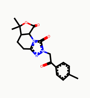 Cc1ccc(C(=O)Cn2nc3n(c2=O)C2C(=O)OC(C)(C)C2CC3)cc1